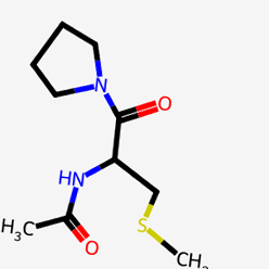 CSCC(NC(C)=O)C(=O)N1CCCC1